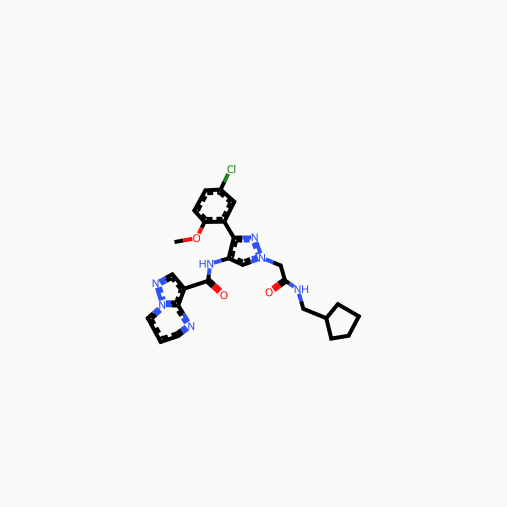 COc1ccc(Cl)cc1-c1nn(CC(=O)NCC2CCCC2)cc1NC(=O)c1cnn2cccnc12